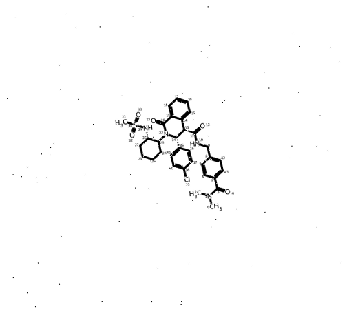 CN(C)C(=O)c1ccc(CNC(=O)[C@@H]2c3ccccc3C(=O)N(C3CCCC[C@@H]3NS(C)(=O)=O)[C@H]2c2ccc(Cl)cc2)cc1